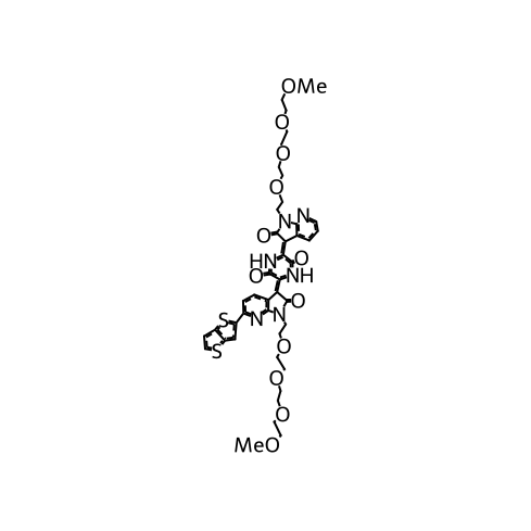 COCCOCCOCCOCCN1C(=O)/C(=c2\[nH]c(=O)/c(=C3/C(=O)N(CCOCCOCCOCCOC)c4nc(-c5cc6sccc6s5)ccc43)[nH]c2=O)c2cccnc21